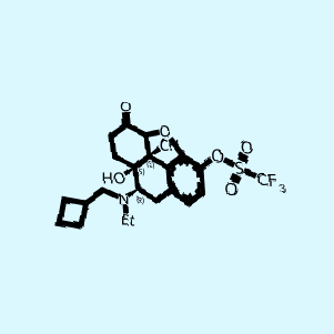 CCN(CC1CCC1)[C@@H]1Cc2ccc(OS(=O)(=O)C(F)(F)F)c3c2[C@@]2(C)C(O3)C(=O)CC[C@@]12O